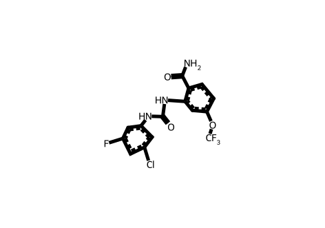 NC(=O)c1ccc(OC(F)(F)F)cc1NC(=O)Nc1cc(F)cc(Cl)c1